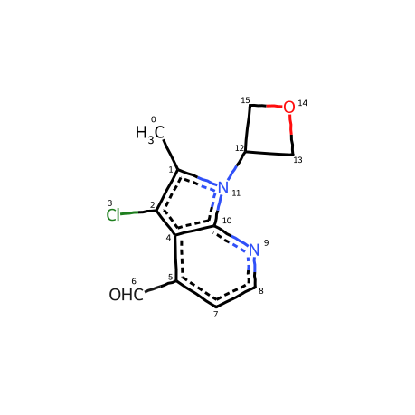 Cc1c(Cl)c2c(C=O)ccnc2n1C1COC1